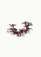 CC[C@H](C)[C@H](NC(=O)[C@H](CCC(=O)O)NC(=O)[C@H](Cc1ccccc1)NC(=O)[C@@H](NC(=O)[C@H](CCCCN)NC(=O)[C@H](CCC(N)=O)NC(=O)[C@@H](N)CCCNC(=N)N)C(C)C)C(=O)N[C@@H](CS)C(=O)N[C@H](C(=O)N[C@@H](CS)C(=O)N[C@@H](C)C(=O)N[C@@H](CC(N)=O)C(=O)NCC(=O)N[C@@H](CCCNC(=N)N)C(=O)N[C@@H](CC(C)C)C(=O)O)C(C)C